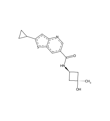 C[C@]1(O)C[C@@H](NC(=O)c2cnc3cc(C4CC4)sc3c2)C1